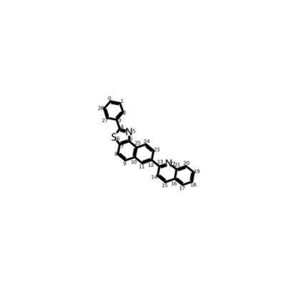 c1ccc(-c2nc3c(ccc4cc(-c5ccc6ccccc6n5)ccc43)s2)cc1